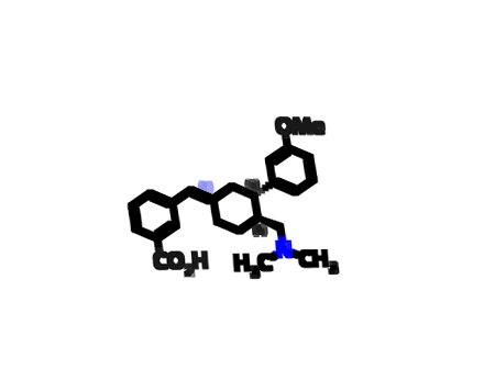 COc1cccc([C@H]2C/C(=C/c3cccc(C(=O)O)c3)CC[C@@H]2CN(C)C)c1